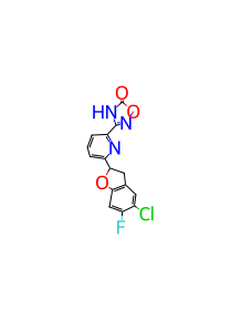 O=c1[nH]c(-c2cccc(C3Cc4cc(Cl)c(F)cc4O3)n2)no1